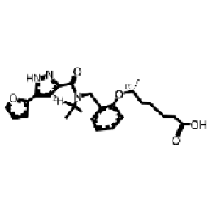 [2H]C(C)(C)N(Cc1ccccc1O[C@H](C)CCCCC(=O)O)C(=O)c1cc(-c2ccco2)[nH]n1